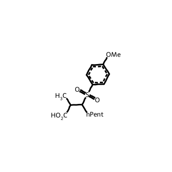 CCCCCC(C(C)C(=O)O)S(=O)(=O)c1ccc(OC)cc1